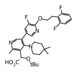 Cc1ncc(-c2cnc(OCCc3c(F)cccc3F)c(F)c2)c(N2CCC(C)(C)CC2)c1[C@H](OC(C)(C)C)C(=O)O